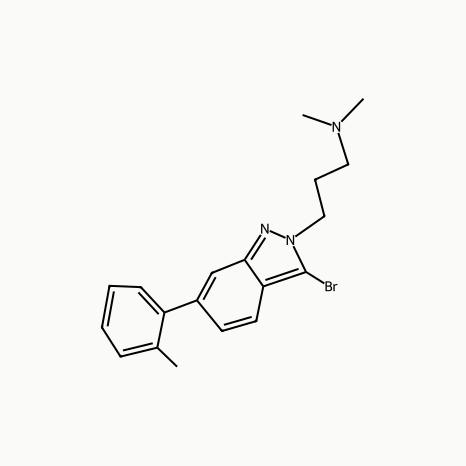 Cc1ccccc1-c1ccc2c(Br)n(CCCN(C)C)nc2c1